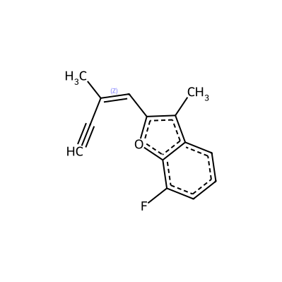 C#C/C(C)=C\c1oc2c(F)cccc2c1C